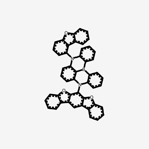 c1ccc2c(c1)B1c3ccccc3N(c3cccc4oc5ccccc5c34)c3cccc(c31)N2c1c2oc3ccccc3c2cc2c1oc1ccccc12